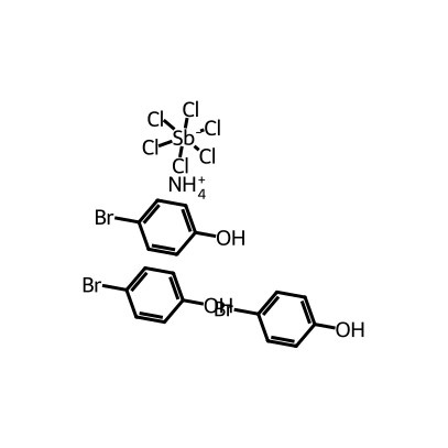 Oc1ccc(Br)cc1.Oc1ccc(Br)cc1.Oc1ccc(Br)cc1.[Cl][Sb-]([Cl])([Cl])([Cl])([Cl])[Cl].[NH4+]